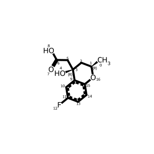 C[C@@H]1C[C@@](O)(CC(=O)O)c2cc(F)ccc2O1